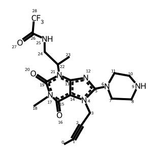 CC#CCn1c(N2CCNCC2)nc2c1c(=O)n(C)c(=O)n2C(C)CNC(=O)C(F)(F)F